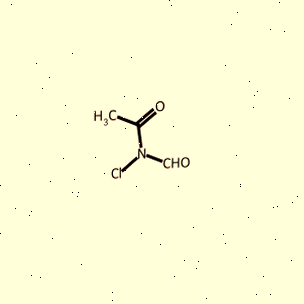 CC(=O)N(Cl)C=O